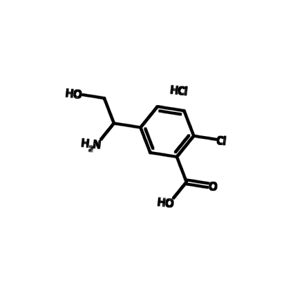 Cl.NC(CO)c1ccc(Cl)c(C(=O)O)c1